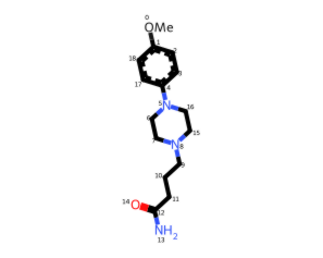 COc1ccc(N2CCN(CCCC(N)=O)CC2)cc1